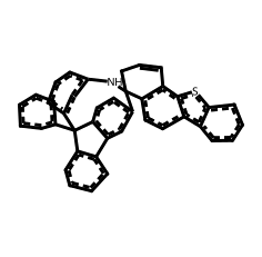 C1=Cc2c(ccc3c2sc2ccccc23)C2(C1)Nc1cccc(c1)C1(c3ccccc3)c3ccccc3-c3cc2ccc31